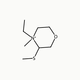 CC[N+]1(C)CCOCC1SC